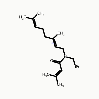 CC(C)=CCC/C(C)=C/CN(CC(C)C)C(=O)C=C(C)C